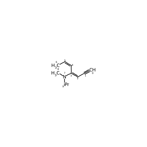 C#C/C=C(\C=C/C)N(C)C(C)C